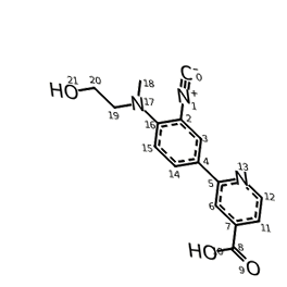 [C-]#[N+]c1cc(-c2cc(C(=O)O)ccn2)ccc1N(C)CCO